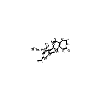 C=CCSc1nn2c3c(cnc2c1S(=O)(=O)CCCCC)CCCCC3